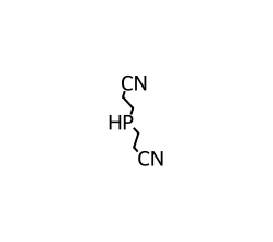 N#CCCPCCC#N